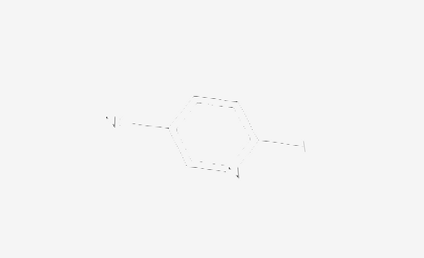 N#Cc1ccc(I)nc1